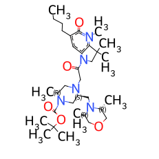 CCCCc1cc2c(n(C)c1=O)C(C)(C)CN2C(=O)CN1C[C@@H](C)N(C(=O)OC(C)(C)C)C[C@@H]1CN1[C@H](C)COC[C@H]1C